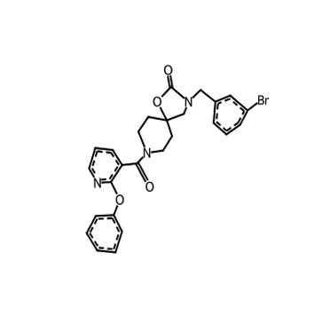 O=C1OC2(CCN(C(=O)c3cccnc3Oc3ccccc3)CC2)CN1Cc1cccc(Br)c1